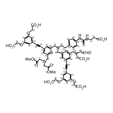 COC(=O)CN(CC(=O)OC)Cc1cc(C#Cc2cc(OCC(=O)O)cc(OCC(=O)O)c2)cc(CN(CCc2ccc(NC(=S)NCCS(=O)(=O)O)cc2)Cc2cc(C#Cc3cc(OCC(=O)O)cc(OCC(=O)O)c3)cc(CN(CC=O)CC(=O)O)n2)n1